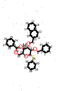 c1ccc(COC2C(OCc3ccc4ccccc4c3)[C@@H]3OC(c4ccccc4)OCC3O[C@@H]2Sc2ccccc2)cc1